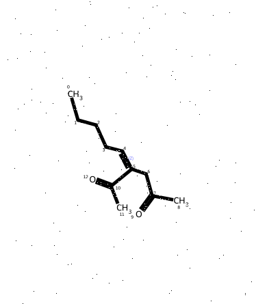 CCCC/C=C(/CC(C)=O)C(C)=O